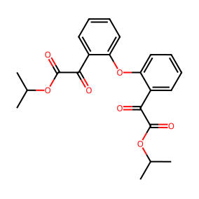 CC(C)OC(=O)C(=O)c1ccccc1Oc1ccccc1C(=O)C(=O)OC(C)C